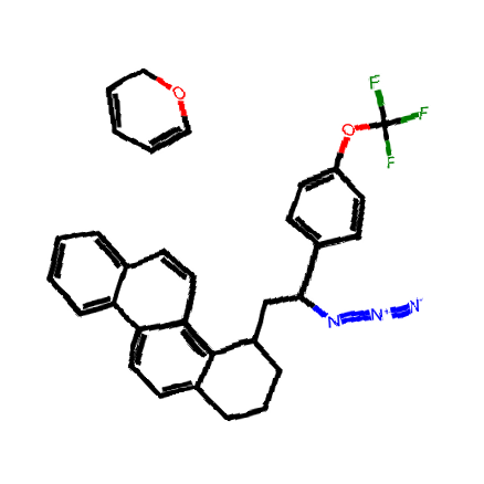 C1=CCOC=C1.[N-]=[N+]=NC(CC1CCCc2ccc3c(ccc4ccccc43)c21)c1ccc(OC(F)(F)F)cc1